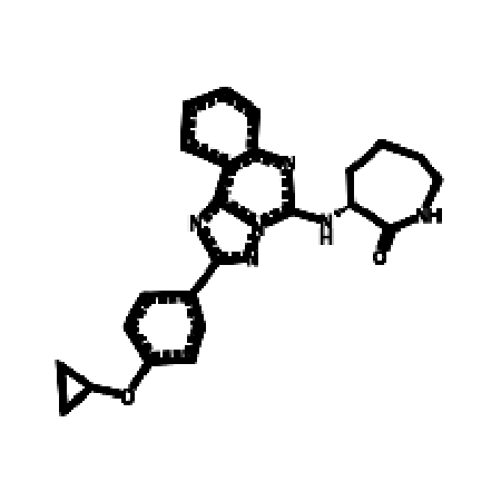 O=C1NCCCC[C@H]1Nc1nc2ccccc2c2nc(-c3ccc(OC4CC4)cc3)nn12